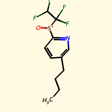 CCCCc1ccc([S+]([O-])C(F)(F)C(F)F)nc1